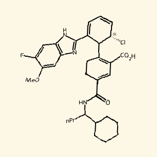 CCCC(NC(=O)C1=CC(C(=O)O)=C(C2C(c3nc4cc(OC)c(F)cc4[nH]3)=CC=C[C@@H]2Cl)CC1)C1CCCCC1